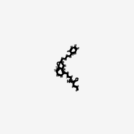 CCCC(=O)NCCCc1cccc2c1CC(CCCCc1ccccc1)O2